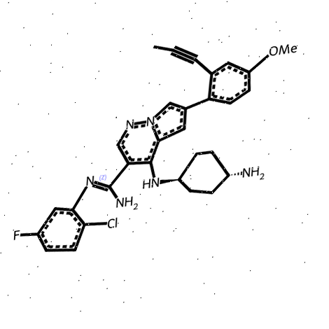 CC#Cc1cc(OC)ccc1-c1cc2c(N[C@H]3CC[C@H](N)CC3)c(/C(N)=N/c3cc(F)ccc3Cl)cnn2c1